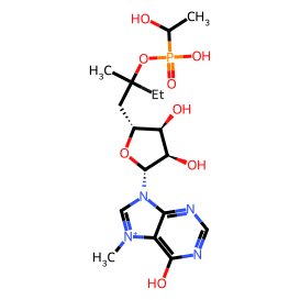 CCC(C)(C[C@H]1O[C@@H](n2c[n+](C)c3c(O)ncnc32)[C@H](O)[C@@H]1O)OP(=O)(O)C(C)O